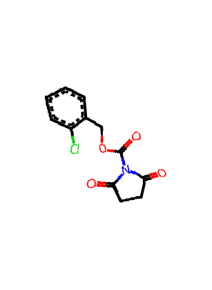 O=C1CCC(=O)N1C(=O)OCc1ccccc1Cl